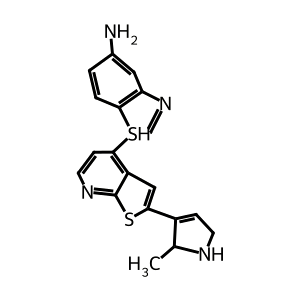 CC1NCC=C1c1cc2c([SH]3C=Nc4cc(N)ccc43)ccnc2s1